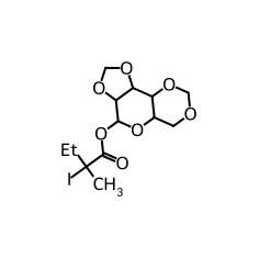 CCC(C)(I)C(=O)OC1OC2COCOC2C2OCOC12